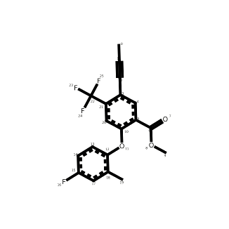 CC#Cc1cc(C(=O)OC)c(Oc2ccc(F)cc2C)cc1C(F)(F)F